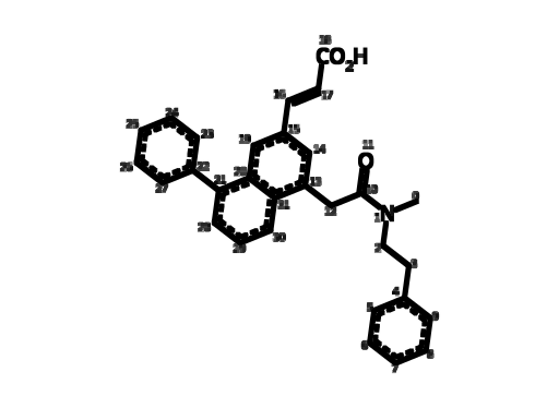 CN(CCc1ccccc1)C(=O)Cc1cc(/C=C/C(=O)O)cc2c(-c3ccccc3)cccc12